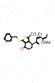 C=C(/C=C\C(=C/C)OC)C1CCC(=O)c2c(SCc3ccccc3)sc(C(=O)OCC)c21